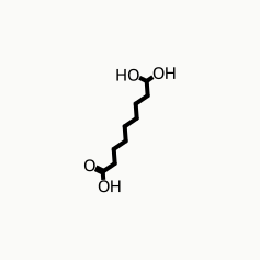 O=C(O)CCCCCCCC(O)O